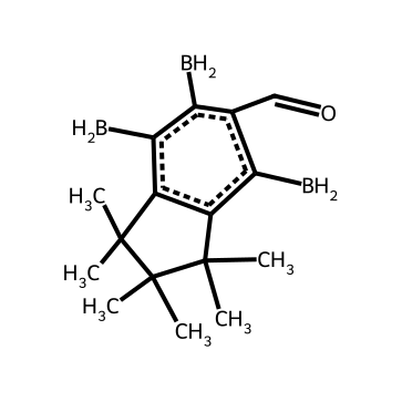 Bc1c(B)c2c(c(B)c1C=O)C(C)(C)C(C)(C)C2(C)C